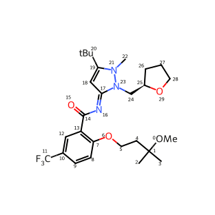 COC(C)(C)CCOc1ccc(C(F)(F)F)cc1C(=O)N=c1cc(C(C)(C)C)n(C)n1C[C@H]1CCCO1